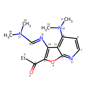 CCC(=O)c1oc2nccc(N(C)C)c2c1N=CN(C)C